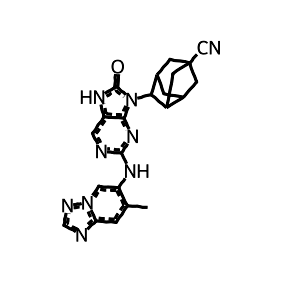 Cc1cc2ncnn2cc1Nc1ncc2[nH]c(=O)n(C3C4CC5CC(C#N)(C4)CC53)c2n1